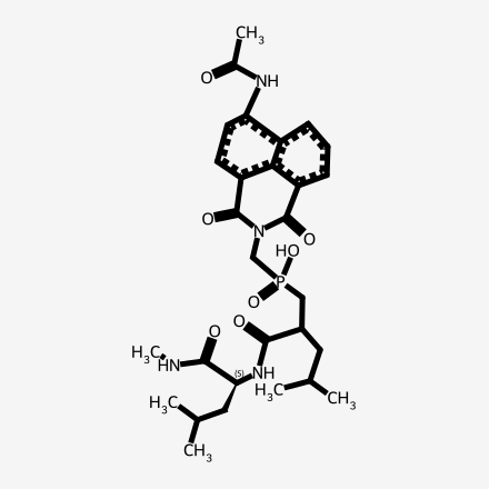 CNC(=O)[C@H](CC(C)C)NC(=O)C(CC(C)C)CP(=O)(O)CN1C(=O)c2cccc3c(NC(C)=O)ccc(c23)C1=O